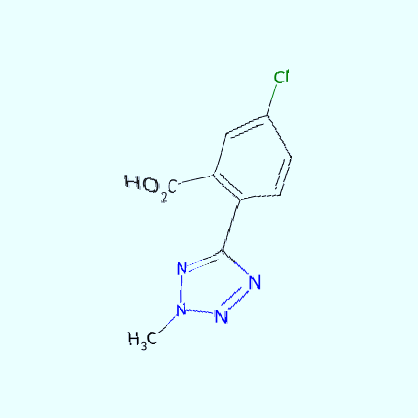 Cn1nnc(-c2ccc(Cl)cc2C(=O)O)n1